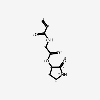 C=CC(=O)NCC(=O)OC1CCNC1=O